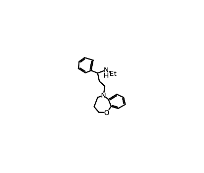 CCNC(CCN1CCCOc2ccccc21)c1ccccc1